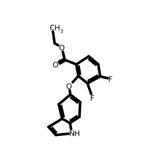 CCOC(=O)c1ccc(F)c(F)c1Oc1ccc2[nH]ccc2c1